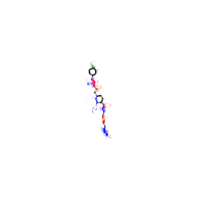 CC1NC(C[S+]([O-])c2nnc(-c3ccc(Cl)cc3)o2)=CC=C1C(=O)NCCOCCN=[N+]=[N-]